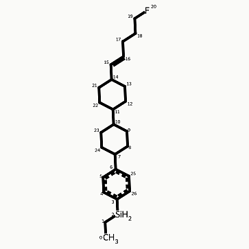 CC[SiH2]c1ccc(C2CCC(C3CCC(C=CCCCF)CC3)CC2)cc1